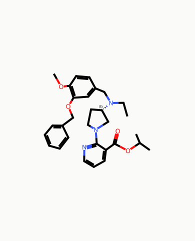 CCN(Cc1ccc(OC)c(OCc2ccccc2)c1)[C@H]1CCN(c2ncccc2C(=O)OC(C)C)C1